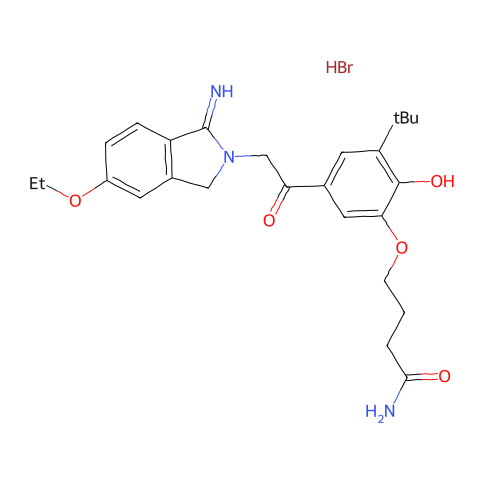 Br.CCOc1ccc2c(c1)CN(CC(=O)c1cc(OCCCC(N)=O)c(O)c(C(C)(C)C)c1)C2=N